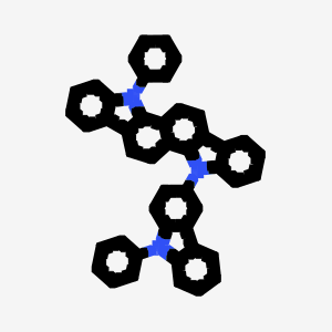 c1ccc(-n2c3ccccc3c3cc(-n4c5ccccc5c5ccc6c(ccc7c8ccccc8n(-c8ccccc8)c76)c54)ccc32)cc1